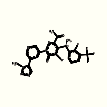 C[C@H](c1cccc(C(F)(F)F)c1F)c1c(C(N)=O)nn(-c2cncc(-c3cnnn3C)c2)c(=O)c1Br